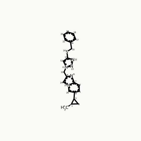 C[C@@H]1CC1c1ccc2nc(Cn3cc(SCc4ccccc4)nn3)cn2c1